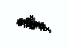 Cc1ccc(Cn2cc3c(n2)-c2c(oc(C(=O)NCc4cccnc4)c2C)CC3)cc1